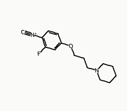 [C-]#[N+]c1ccc(OCCCN2CCCCC2)cc1F